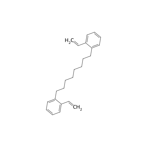 C=Cc1ccccc1CCCCCCCCc1ccccc1C=C